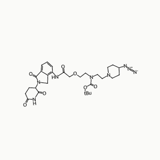 CC(C)(C)OC(=O)N(CCOCC(=O)Nc1cccc2c1CN(C1CCC(=O)NC1=O)C2=O)CCN1CCC(N=[N+]=[N-])CC1